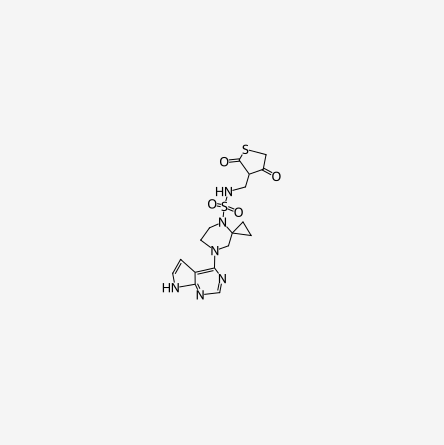 O=C1CSC(=O)C1CNS(=O)(=O)N1CCN(c2ncnc3[nH]ccc23)CC12CC2